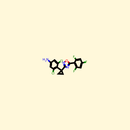 Nc1cc(Cl)c(C2(c3noc(-c4c(F)cc(F)cc4F)n3)CC2)c(Cl)c1